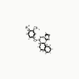 Cc1cc(OC(Cn2ccnc2)c2ccc3ccccc3c2)ccc1Br